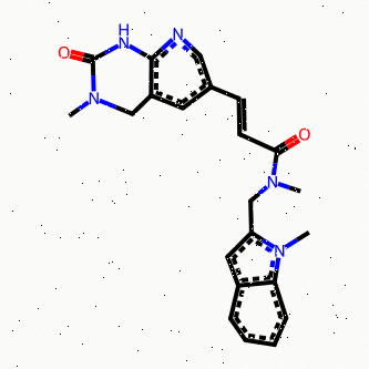 CN(Cc1cc2ccccc2n1C)C(=O)C=Cc1cnc2c(c1)CN(C)C(=O)N2